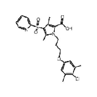 Cc1cc(OCCCn2c(C)c(S(=O)(=O)c3ccccn3)c(C)c2C(=O)O)cc(C)c1Cl